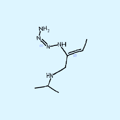 C/C=C(/CNC(C)C)N/N=N\N